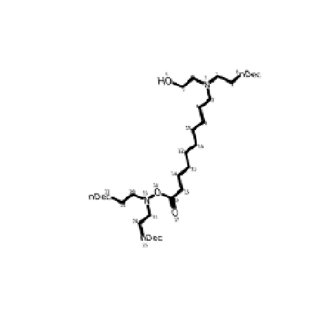 CCCCCCCCCCCCN(CCO)CCCCCCCCCC(=O)ON(CCCCCCCCCCCC)CCCCCCCCCCCC